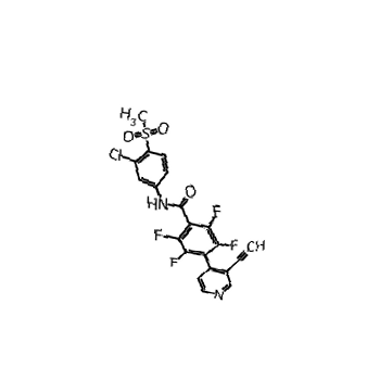 C#Cc1cnccc1-c1c(F)c(F)c(C(=O)Nc2ccc(S(C)(=O)=O)c(Cl)c2)c(F)c1F